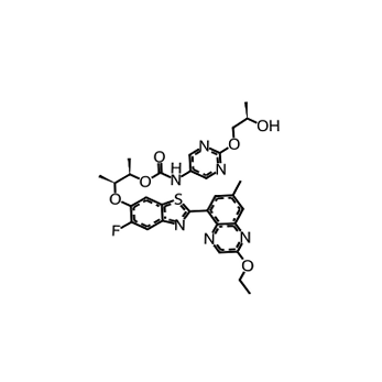 CCOc1cnc2c(-c3nc4cc(F)c(O[C@@H](C)[C@@H](C)OC(=O)Nc5cnc(OC[C@@H](C)O)nc5)cc4s3)cc(C)cc2n1